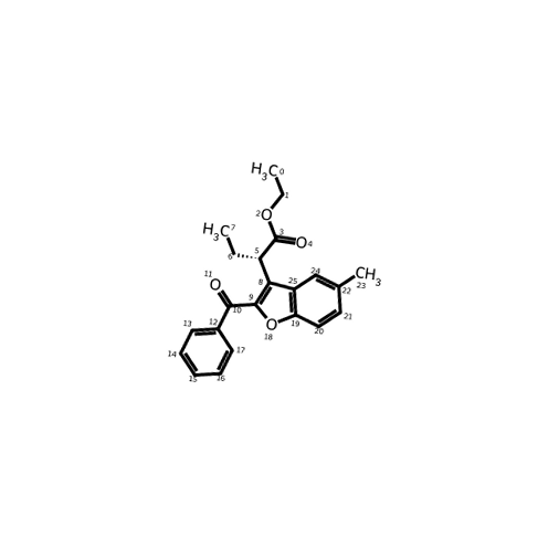 CCOC(=O)[C@@H](CC)c1c(C(=O)c2ccccc2)oc2ccc(C)cc12